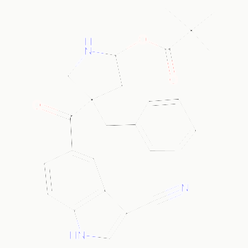 CC(C)(C)C(=O)OC1CC(Cc2ccccc2)(C(=O)c2ccc3[nH]cc(C#N)c3c2)CN1